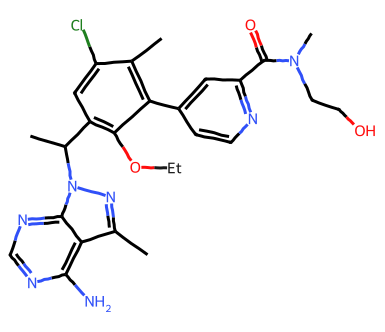 CCOc1c(C(C)n2nc(C)c3c(N)ncnc32)cc(Cl)c(C)c1-c1ccnc(C(=O)N(C)CCO)c1